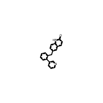 O=c1ccc2cc(Cc3ccccc3-c3cccnc3)ccc2[nH]1